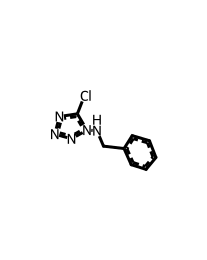 Clc1nnnn1NCc1ccccc1